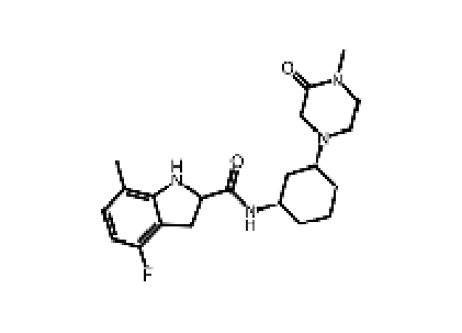 Cc1ccc(F)c2c1NC(C(=O)N[C@@H]1CCC[C@H](N3CCN(C)C(=O)C3)C1)C2